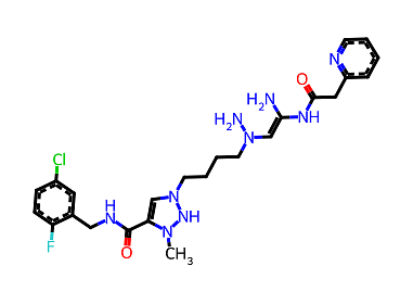 CN1NN(CCCCN(N)/C=C(\N)NC(=O)Cc2ccccn2)C=C1C(=O)NCc1cc(Cl)ccc1F